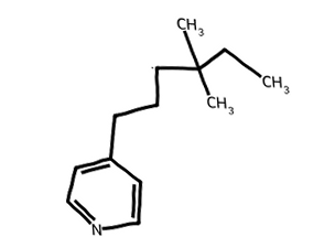 CCC(C)(C)[CH]CCc1ccncc1